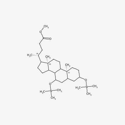 COC(=O)CC[C@@H](C)C1CCC2C3C(O[Si](C)(C)C)CC4CC(O[Si](C)(C)C)CC[C@]4(C)C3CC[C@@]21C